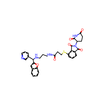 O=C(CCSc1cccc2c1C(=O)N(C1CCC(=O)NC1=O)C2=O)NCCCNC(c1cccnc1)c1cc2ccccc2o1